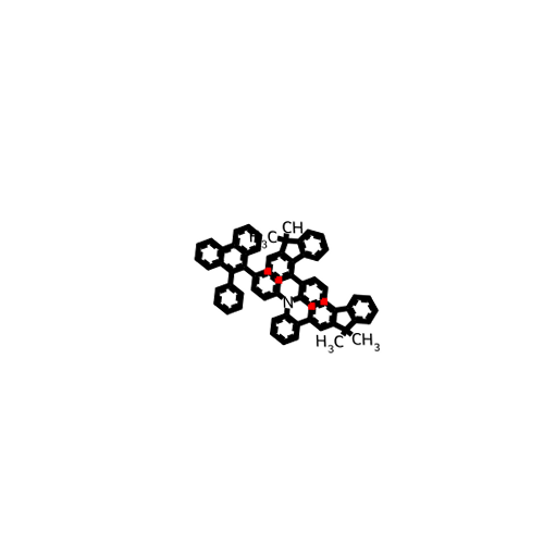 CC1(C)c2ccccc2-c2ccc(-c3ccccc3N(c3ccc(-c4c(-c5ccccc5)c5ccccc5c5ccccc45)cc3)c3ccccc3-c3cccc4c3-c3ccccc3C4(C)C)cc21